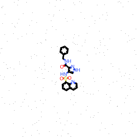 O=C(NCc1ccccc1)c1n[nH]cc1NS(=O)(=O)c1cccc2cccnc12